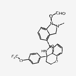 CN1Cc2c(C(=O)NC3(c4ccc(OC(F)(F)F)cc4)CCOc4cccnc43)cccc2N1OC=O